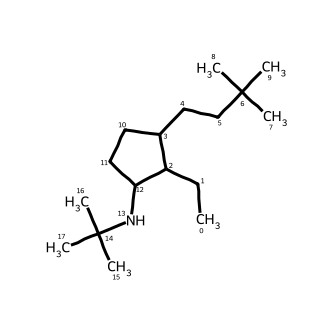 CCC1C(CCC(C)(C)C)CCC1NC(C)(C)C